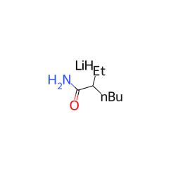 CCCCC(CC)C(N)=O.[LiH]